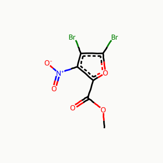 COC(=O)c1oc(Br)c(Br)c1[N+](=O)[O-]